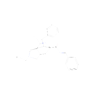 CC(=O)C1NC2(C(=O)NCc3ccccc3)CC3CN(CC(C)C)C(C31)C2Cc1ccccc1